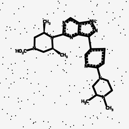 CC1CN(c2ccc(-c3n[nH]c4cnc(N5[C@H](C)CN(C(=O)O)C[C@@H]5C)nc34)cn2)CCN1C